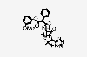 COc1cccc(OC(=O)C(C(=O)NC2C(=O)N3C(c4nnn[nH]4)C(C)(C)S[C@@H]23)c2ccccc2)c1